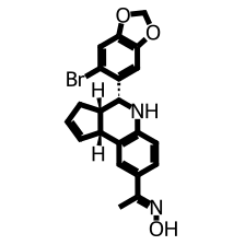 C/C(=N\O)c1ccc2c(c1)[C@@H]1C=CC[C@@H]1[C@H](c1cc3c(cc1Br)OCO3)N2